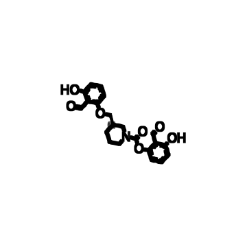 O=Cc1c(O)cccc1OC[C@@H]1CCCN(C(=O)Oc2cccc(O)c2C=O)C1